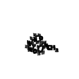 Cn1ccc2cc(Oc3cc(CN4CCOCC4)ncn3)ccc21